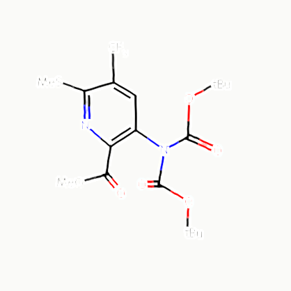 COC(=O)c1nc(SC)c(C(F)(F)F)cc1N(C(=O)OC(C)(C)C)C(=O)OC(C)(C)C